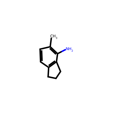 Cc1ccc2c(c1N)CCC2